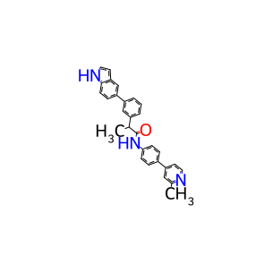 Cc1cc(-c2ccc(NC(=O)C(C)c3cccc(-c4ccc5[nH]ccc5c4)c3)cc2)ccn1